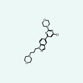 Clc1cc(-c2ccc3c(cnn3CCCN3CCOCC3)c2)nc(N2CCOCC2)n1